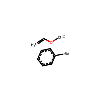 C=COC=O.CC(C)(C)c1ccccc1